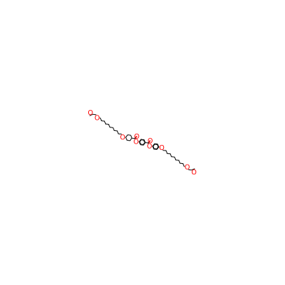 O=C(Oc1ccc(OCCCCCCCCCCCOCC2CO2)cc1)c1ccc(OC(=O)C2CCC(OCCCCCCCCCCCOCC3CO3)CC2)cc1